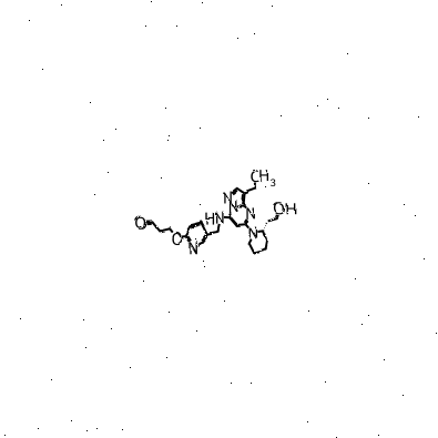 CCc1cnn2c(NCc3ccc(OCCC=O)nc3)cc(N3CCCC[C@H]3CCO)nc12